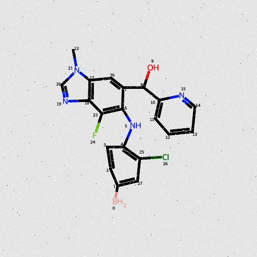 Bc1ccc(Nc2c(C(O)c3ccccn3)cc3c(ncn3C)c2F)c(Cl)c1